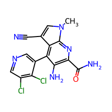 Cn1cc(C#N)c2c(-c3cncc(Cl)c3Cl)c(N)c(C(N)=O)nc21